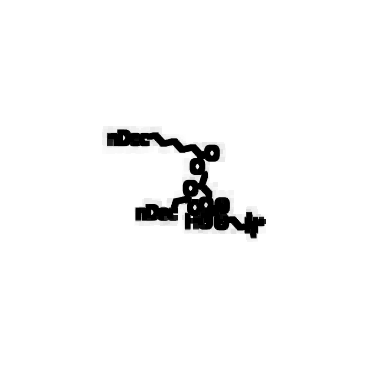 CCCCCCCCCCCCCCCC(=O)OCC(COP(=O)(O)OCC[N+](C)(C)C)OC(=O)CCCCCCCCCCC